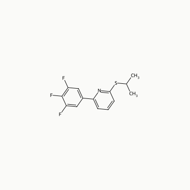 CC(C)Sc1cccc(-c2cc(F)c(F)c(F)c2)n1